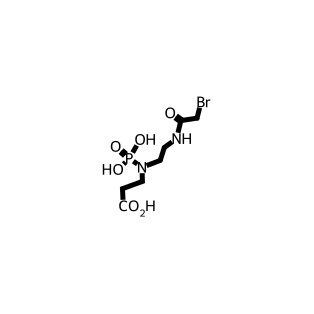 O=C(O)CCN(CCNC(=O)CBr)P(=O)(O)O